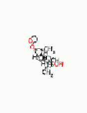 C=C[C@H]1C[C@H](O)[C@@]2(C)CC[C@H]3[C@@H](CC[C@H]4C[C@H](OC5CCCCO5)C[C@H](C)[C@@]43C)[C@H]12